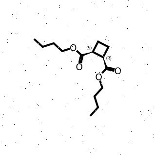 CCCCOC(=O)[C@H]1CC[C@H]1C(=O)OCCCC